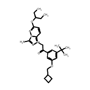 CCC(CC)Oc1ccc2n(n1)c(N)n[n+]2CC(=O)c1cc(OCC2CCC2)cc(C(C)(C)C)c1